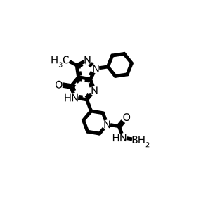 BNC(=O)N1CCCC(c2nc3c(c(C)nn3C3CCCCC3)c(=O)[nH]2)C1